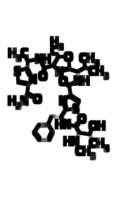 CN[C@H](C(=O)N[C@H](Cc1ccccc1)c1nc(C(=O)N[C@H](C2=NC(C(=O)N[C@H](C)c3nc(C(N)=O)cs3)[C@@H](C)O2)C(C)C)cs1)[C@@H](C)O